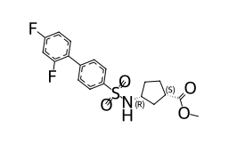 COC(=O)[C@H]1CC[C@@H](NS(=O)(=O)c2ccc(-c3ccc(F)cc3F)cc2)C1